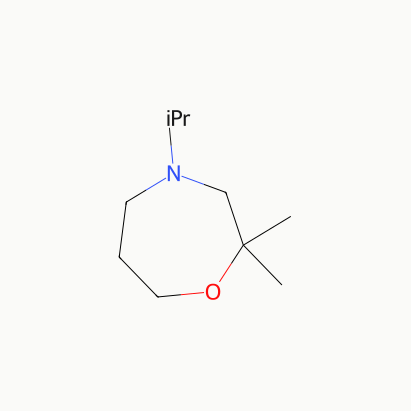 CC(C)N1CCCOC(C)(C)C1